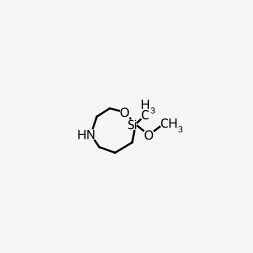 CO[Si]1(C)CCCNCCO1